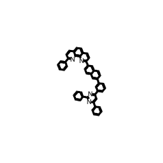 c1ccc(-c2cc(-c3cccc(-c4ccc5cc(-c6ccc7ccc8ccc(-c9ccccc9)nc8c7n6)ccc5c4)c3)nc(-c3ccccc3)n2)cc1